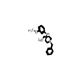 COc1cccc(NC2(CO)CCN(Cc3ccccc3)CC2)c1